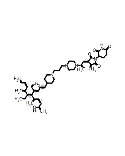 C=C/C=C\C(=C)\C(CC)=C(C(=C)/C=C\C(=C)O)/C(C=C)=C/C=C/C1CCN(CCCN2CCN(C(=C)/C=C3\C(=C)C(=O)N(C4CCC(=O)NC4=O)C3=O)CC2)CC1